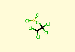 ClC(Cl)C(Cl)(Cl)Cl.ClSCl